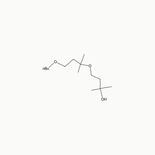 CCCCOCCC(C)(C)OCCC(C)(C)O